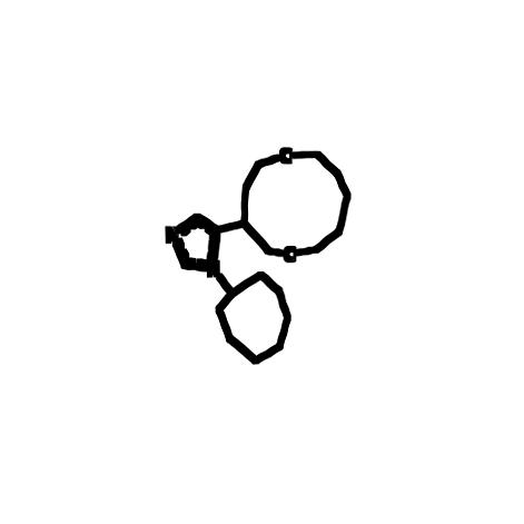 c1ncn(C2CCCCCCC2)c1C1CCCCCCCCCC1